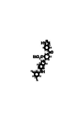 CCOC(=O)[C@@H]1CN(C(=O)c2ccc3[nH]nnc3c2)CC[C@@H]1N1Cc2cnc(Nc3cc(C)cc(C)c3)nc2C1